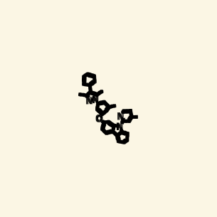 Cc1cc(Oc2ccc3c4ccccc4n(-c4cc(C)ccn4)c3c2)cc(-n2nc(C)c(-c3ccccc3)c2C)c1